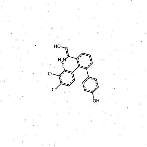 NC(=NO)c1cccc(-c2ccc(O)cc2)c1-c1ccc(Cl)c(Cl)c1F